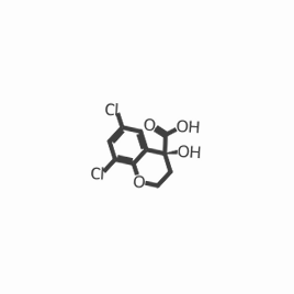 O=C(O)[C@]1(O)CCOc2c(Cl)cc(Cl)cc21